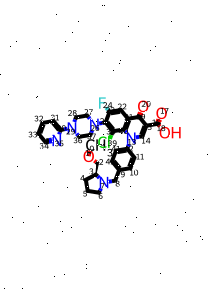 COC[C@@H]1CCCN1Cc1ccc(-n2cc(C(=O)O)c(=O)c3cc(F)c(N4CCN(c5ccccn5)CC4)c(Cl)c32)cc1